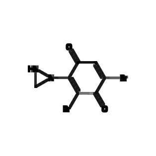 O=C1C=C(Br)C(=O)C(Br)=C1N1CN1